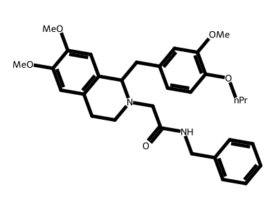 CCCOc1ccc(CC2c3cc(OC)c(OC)cc3CCN2CC(=O)NCc2ccccc2)cc1OC